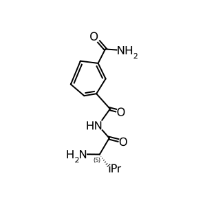 CC(C)[C@H](N)C(=O)NC(=O)c1cccc(C(N)=O)c1